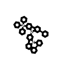 c1ccc(-c2ccc3c4ccc([Si](c5ccccc5)(c5ccccc5)c5ccccc5)cc4n(-c4ccc5c6ccccc6n(-c6ccccc6-c6ccccc6)c5c4)c3c2)cc1